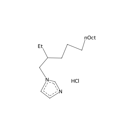 CCCCCCCCCCCC(CC)Cn1ccnc1.Cl